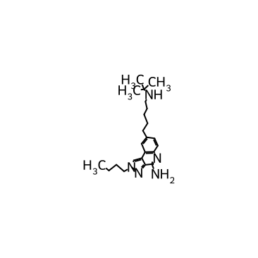 CCCCn1cc2c(n1)c(N)nc1ccc(CCCCCNC(C)(C)C)cc12